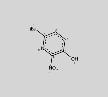 CCC(C)c1ccc(O)c([N+](=O)[O-])n1